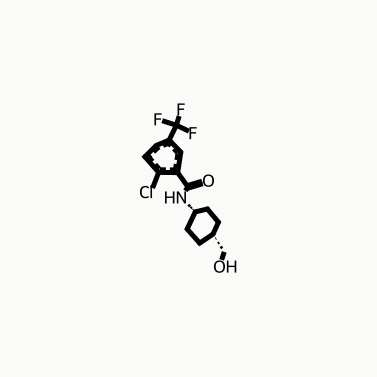 O=C(N[C@H]1CC[C@@H](CO)CC1)c1cc(C(F)(F)F)ccc1Cl